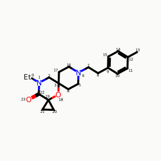 CCN1CC2(CCN(CCc3ccc(C)cc3)CC2)OC2(CC2)C1=O